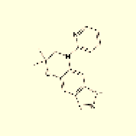 CC1(C)CN(c2ccccn2)c2cc3[nH]nnc3cc2O1